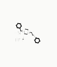 Cl.Cl.N=C(c1ccccc1)N1CCN(CCOc2ccccc2)CC1